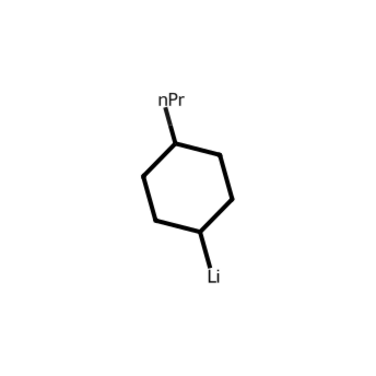 [Li][CH]1CCC(CCC)CC1